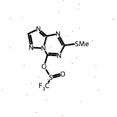 CSc1nc(OS(=O)C(F)(F)F)n2ncnc2n1